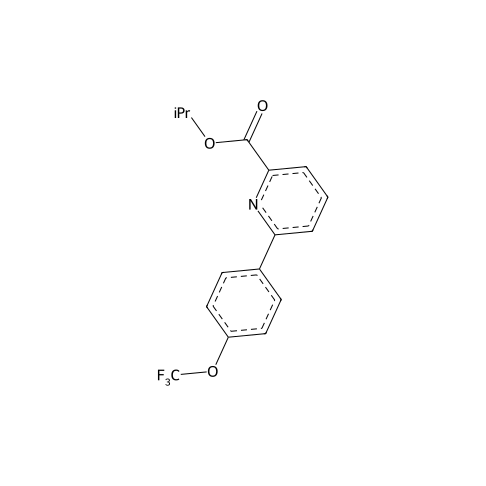 CC(C)OC(=O)c1cccc(-c2ccc(OC(F)(F)F)cc2)n1